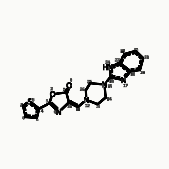 O=C1OC(c2cccs2)=N/C1=C/N1CCN(c2nc3ccccc3[nH]2)CC1